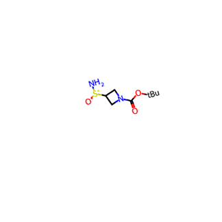 CC(C)(C)OC(=O)N1CC([S+](N)[O-])C1